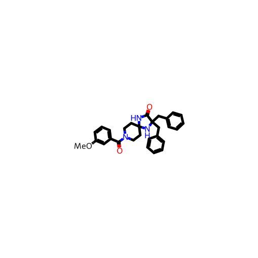 COc1cccc(C(=O)N2CCC3(CC2)NC(=O)C(Cc2ccccc2)(Cc2ccccc2)N3)c1